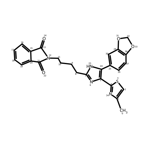 Cc1csc(-c2nc(CCCCN3C(=O)c4ccccc4C3=O)[nH]c2-c2ccc3c(c2)OCO3)n1